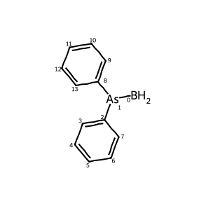 B[As](c1ccccc1)c1ccccc1